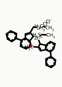 CC.CCC1=Cc2c(-c3ccccc3)cccc2[CH]1[Zr+2]([SiH2]C)[CH]1C(C)=Cc2c(-c3ccccc3)cccc21.[Cl-].[Cl-]